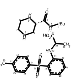 CC(C)(C)NC(=O)[C@@H]1CNCCN1.Cc1ccc(S(=O)(=O)c2ccccc2NC(C)C(=O)O)cc1